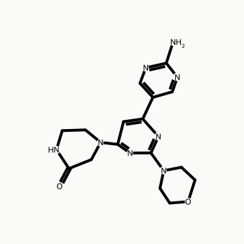 Nc1ncc(-c2cc(N3CCNC(=O)C3)nc(N3CCOCC3)n2)cn1